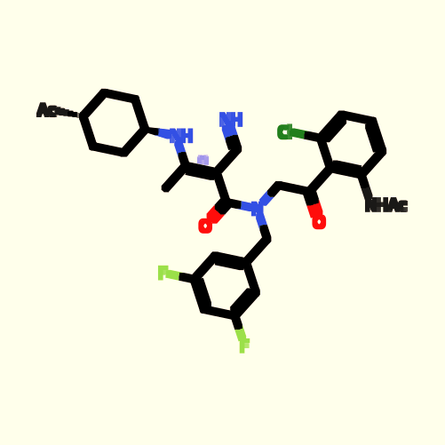 CC(=O)Nc1cccc(Cl)c1C(=O)CN(Cc1cc(F)cc(F)c1)C(=O)/C(C=N)=C(\C)N[C@H]1CC[C@H](C(C)=O)CC1